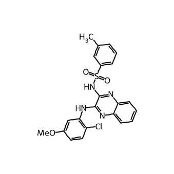 COc1ccc(Cl)c(Nc2nc3ccccc3nc2NS(=O)(=O)c2cccc(C)c2)c1